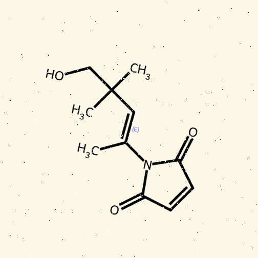 C/C(=C\C(C)(C)CO)N1C(=O)C=CC1=O